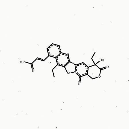 CCc1c2c(nc3cccc(C=CC(N)=O)c13)-c1cc3c(c(=O)n1C2)COC(=O)C3(O)CC